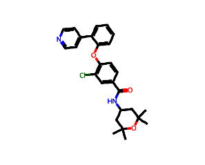 CC1(C)CC(NC(=O)c2ccc(Oc3ccccc3-c3ccncc3)c(Cl)c2)CC(C)(C)O1